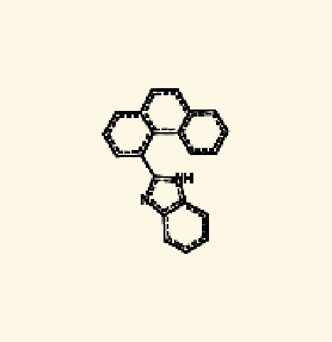 c1ccc2c(c1)ccc1cccc(-c3nc4ccccc4[nH]3)c12